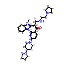 Cn1c2ccccc2n2c3nc(N4CCC(N5CCCC5)CC4)ccc3c(=O)c(C(=O)NCCN3CCCC3)c12